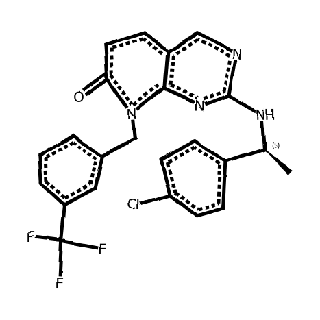 C[C@H](Nc1ncc2ccc(=O)n(Cc3cccc(C(F)(F)F)c3)c2n1)c1ccc(Cl)cc1